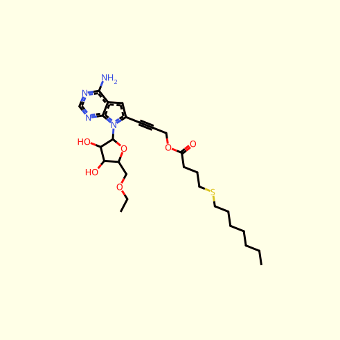 CCCCCCCSCCCC(=O)OCC#Cc1cc2c(N)ncnc2n1C1OC(COCC)C(O)C1O